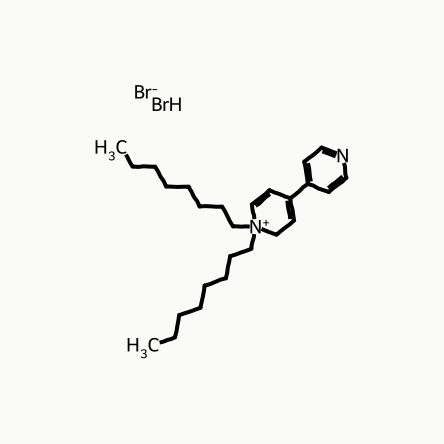 Br.CCCCCCCC[N+]1(CCCCCCCC)C=CC(c2ccncc2)=CC1.[Br-]